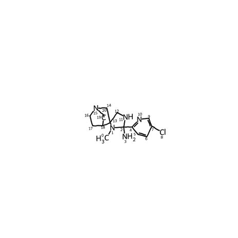 CN1C(N)(c2ccc(Cl)cn2)NCC12CN1CCC2CC1